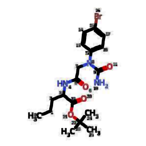 CCCC(NC(=O)CN(C(N)=O)c1ccc(Br)cc1)C(=O)OC(C)(C)C